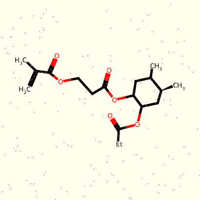 C=C(C)C(=O)OCCC(=O)OC1CC(C)[C@@H](C)CC1OC(=O)CC